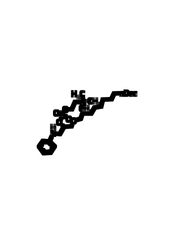 CCCCCCCCCCCCCCCCCCOCC(CNc1ccccc1)OP(=O)([O-])OCC[N+](C)(C)C